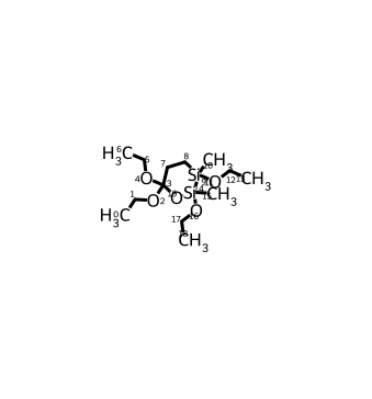 CCOC1(OCC)CC[Si](C)(OCC)[Si](C)(OCC)O1